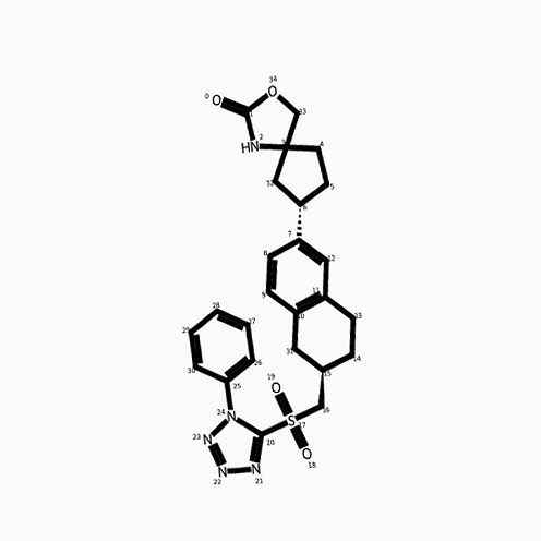 O=C1NC2(CC[C@H](c3ccc4c(c3)CC[C@@H](CS(=O)(=O)c3nnnn3-c3ccccc3)C4)C2)CO1